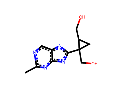 Cc1ncc2[nH]c(C3(CO)CC3CO)nc2n1